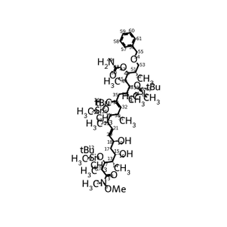 CON(C)C(=O)[C@H](C)[C@@H](O[Si](C)(C)C(C)(C)C)[C@@H](C)[C@@H](O)C[C@H](O)C=C[C@H](C)[C@H](O[Si](C)(C)C(C)(C)C)[C@@H](C)C=C(C)C[C@H](C)[C@@H](O[Si](C)(C)C(C)(C)C)[C@H](C)[C@@H](OC(N)=O)[C@@H](C)COCc1ccccc1